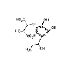 NC[C@@H](O)c1ccc(O)c(O)c1.O=C(O)[C@H](O)[C@@H](O)C(=O)O